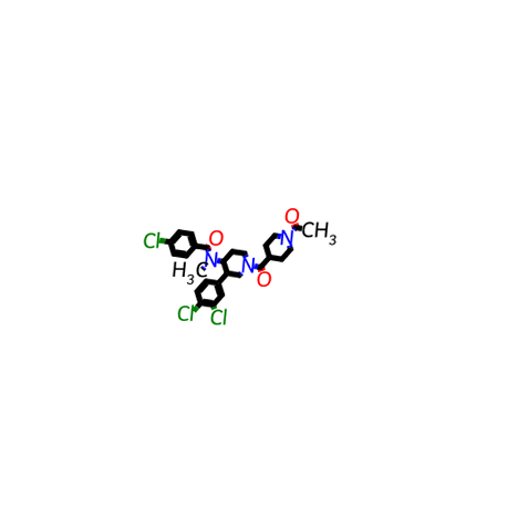 CC(=O)N1CCC(C(=O)N2CCC(N(C)C(=O)c3ccc(Cl)cc3)C(c3ccc(Cl)c(Cl)c3)C2)CC1